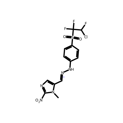 Cn1c(/C=N/Nc2ccc(S(=O)(=O)C(F)(F)C(F)Cl)cc2)cnc1[N+](=O)[O-]